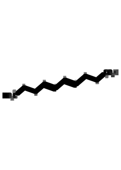 O=C(O)CCC=CC=CCCC(=O)O